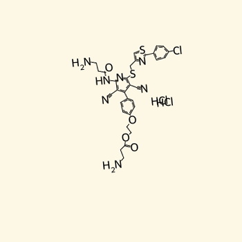 Cl.Cl.N#Cc1c(NC(=O)CCN)nc(SCc2csc(-c3ccc(Cl)cc3)n2)c(C#N)c1-c1ccc(OCCOC(=O)CCN)cc1